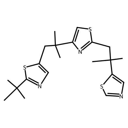 CC(C)(C)c1ncc(CC(C)(C)c2csc(CC(C)(C)c3cncs3)n2)s1